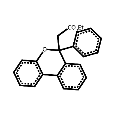 CCOC(=O)CC1(c2ccccc2)Oc2ccccc2-c2ccccc21